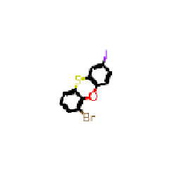 Brc1cccc2c1Oc1ccc(I)cc1S2